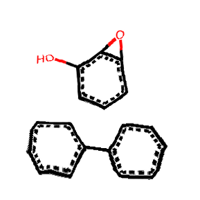 Oc1cccc2c1O2.c1ccc(-c2ccccc2)cc1